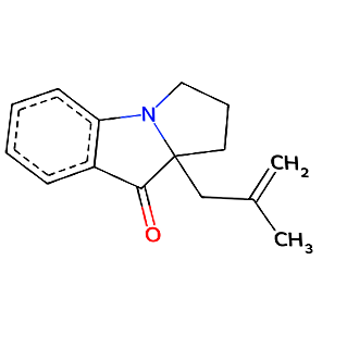 C=C(C)CC12CCCN1c1ccccc1C2=O